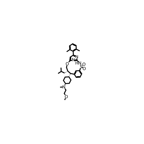 COCCN(C)[C@H]1CC[C@H](C2c3cccc(c3)S(=O)(=O)Nc3nc(cc(-c4c(C)cccc4C)n3)OC[C@H]2CC(C)C)CC1